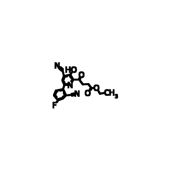 CCOC(=O)CCC(=O)c1nc(-c2ccc(F)cc2C#N)cc(C#N)c1O